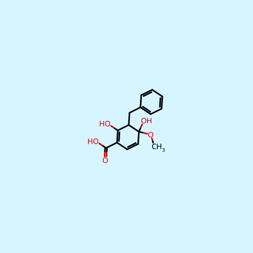 COC1(O)C=CC(C(=O)O)=C(O)C1Cc1ccccc1